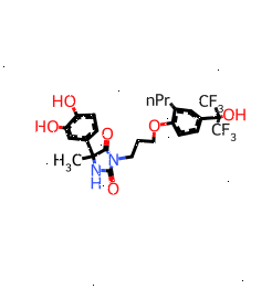 CCCc1cc(C(O)(C(F)(F)F)C(F)(F)F)ccc1OCCCN1C(=O)NC(C)(c2ccc(O)c(O)c2)C1=O